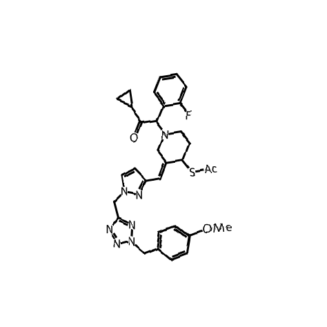 COc1ccc(Cn2nnc(Cn3ccc(/C=C4\CN(C(C(=O)C5CC5)c5ccccc5F)CCC4SC(C)=O)n3)n2)cc1